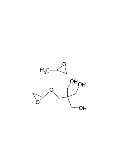 CC1CO1.OCC(CO)(CO)COC1CO1